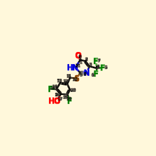 O=c1cc(C(F)(F)F)nc(SCc2cc(F)c(O)c(F)c2)[nH]1